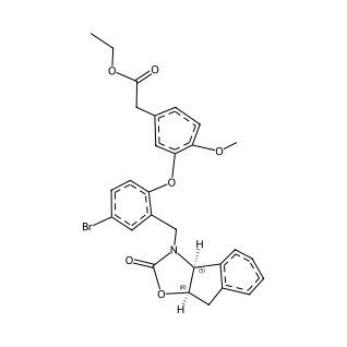 CCOC(=O)Cc1ccc(OC)c(Oc2ccc(Br)cc2CN2C(=O)O[C@@H]3Cc4ccccc4[C@@H]32)c1